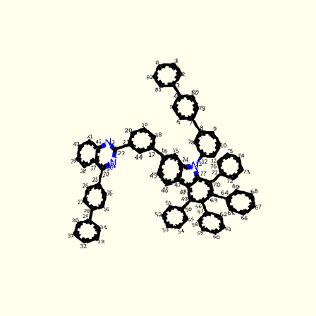 c1ccc(-c2ccc(-c3cccc(-n4c5cc(-c6cccc(-c7nc(-c8ccc(-c9ccccc9)cc8)c8ccccc8n7)c6)ccc5c5c(-c6ccccc6)c(-c6ccccc6)c(-c6ccccc6)c(-c6ccccc6)c54)c3)cc2)cc1